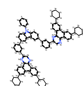 c1ccc(-n2c3ccc(-c4cccc(-c5cnc6c7ccc(C8CCCCC8)cc7c7cc(C8CCCCC8)ccc7c6n5)c4)cc3c3cc(-c4cccc(-c5cnc6c7ccc(C8CCCCC8)cc7c7cc(C8CCCCC8)ccc7c6n5)c4)ccc32)cc1